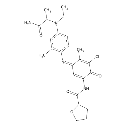 CCN(c1ccc(N=C2C=C(NC(=O)C3CCCO3)C(=O)C(Cl)=C2C)c(C)c1)C(C)C(N)=O